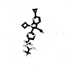 C[C@H](NS(=O)(=O)c1cnc(-c2c(C#N)c3ccc(C4CC4)nc3n2C2CCC2)nc1)C(F)(F)F